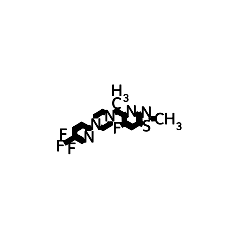 Cc1nc2nc(C(C)N3CCN(c4ccc(C(F)(F)F)cn4)CC3)c(F)cc2s1